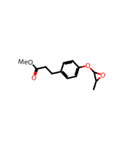 COC(=O)CCc1ccc(OC2OC2C)cc1